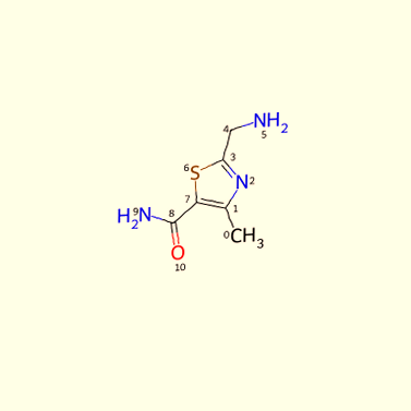 Cc1nc(CN)sc1C(N)=O